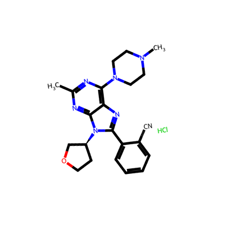 Cc1nc(N2CCN(C)CC2)c2nc(-c3ccccc3C#N)n([C@H]3CCOC3)c2n1.Cl